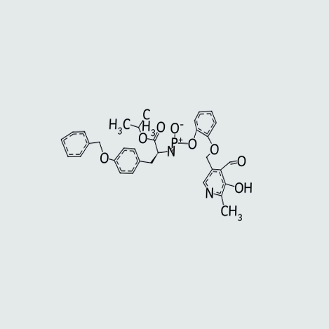 Cc1ncc(COc2ccccc2O[P+]([O-])=N[C@@H](Cc2ccc(OCc3ccccc3)cc2)C(=O)OC(C)C)c(C=O)c1O